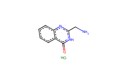 Cl.NCc1nc2ccccc2c(=O)[nH]1